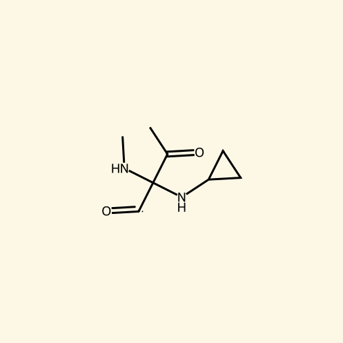 CNC([C]=O)(NC1CC1)C(C)=O